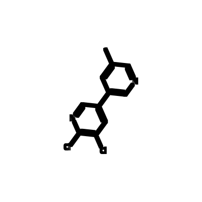 Cc1cncc(-c2cnc(Cl)c(Cl)c2)c1